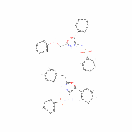 O=S(=O)(Nc1nc(COc2ccccc2)oc1-c1ccccc1)c1ccccc1.O=S(=O)(Nc1nc(Cc2ccccc2)oc1-c1ccccc1)c1ccccc1